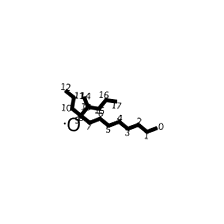 CCCCCCCCC([O])(CCC)C(C)CCC